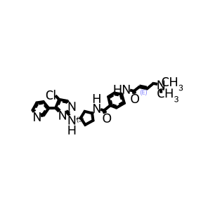 CN(C)C/C=C/C(=O)Nc1ccc(C(=O)NC2CC[C@H](Nc3ncc(Cl)c(-c4cccnc4)n3)C2)cc1